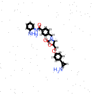 Nc1ccccc1NC(=O)c1ccc(CN2CC(COc3ccc(C4CC4N)cc3)OC2=O)cc1